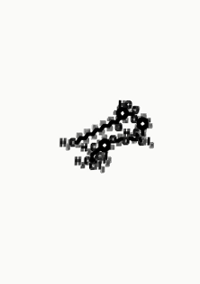 CC(C)(C)CC(C)(C)c1ccc(OCCOCC[N+](C)(C)Cc2ccccc2)cc1.CCCCCCCCCCCC(=O)c1ccc(O)c(C(=O)[O-])c1